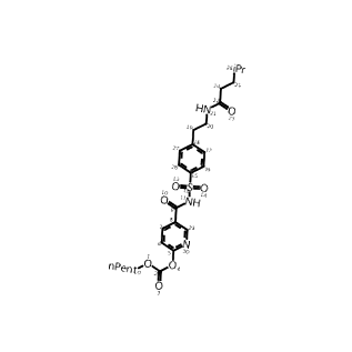 CCCCCOC(=O)Oc1ccc(C(=O)NS(=O)(=O)c2ccc(CCNC(=O)CCC(C)C)cc2)cn1